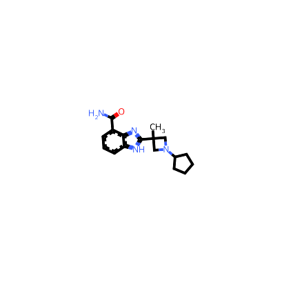 CC1(c2nc3c(C(N)=O)cccc3[nH]2)CN(C2CCCC2)C1